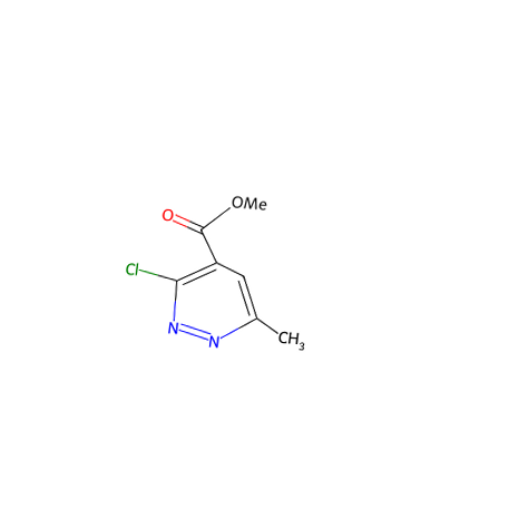 COC(=O)c1cc(C)nnc1Cl